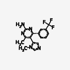 Cc1nc(N)nc(-c2cccc(C(F)(F)F)c2)c1-c1cncn1C